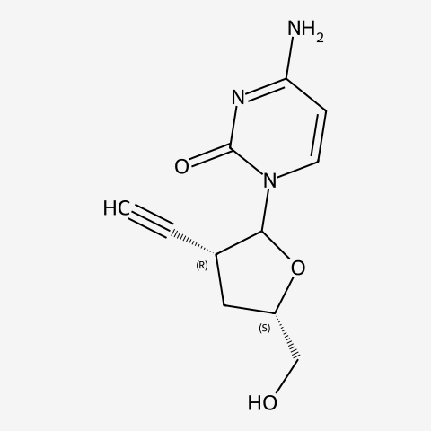 C#C[C@H]1C[C@@H](CO)OC1n1ccc(N)nc1=O